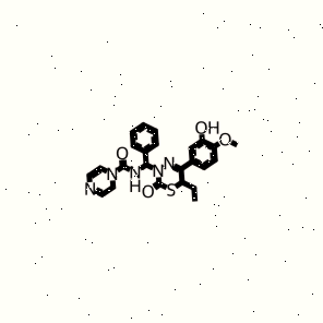 CCC1SC(=O)N(C(NC(=O)N2C=CN=CC2)c2ccccc2)N=C1c1ccc(OC)c(O)c1